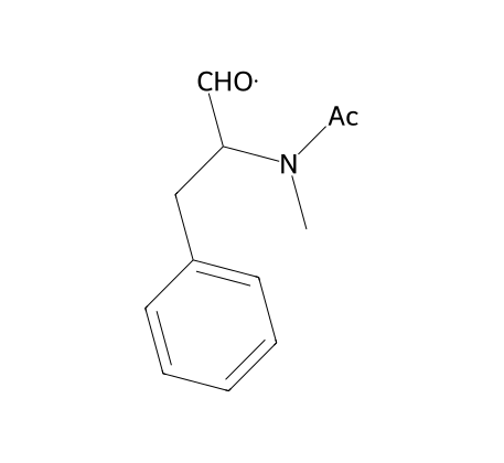 CC(=O)N(C)C([C]=O)Cc1ccccc1